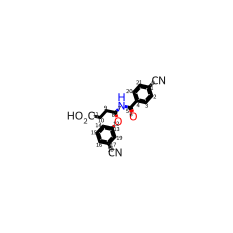 N#Cc1ccc(C(=O)NC(CCC(=O)O)Oc2cccc(C#N)c2)cc1